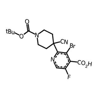 CC(C)(C)OC(=O)N1CCC(C#N)(c2ncc(F)c(C(=O)O)c2Br)CC1